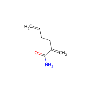 C=CCCC(=C)C(N)=O